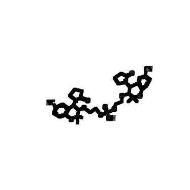 CC1(C)Oc2ccc(C#N)cc2C(N2CCCC2=O)C1OCCOP(=O)(O)OCCOC1C(N2CCCC2=O)c2cc(C#N)ccc2OC1(C)C